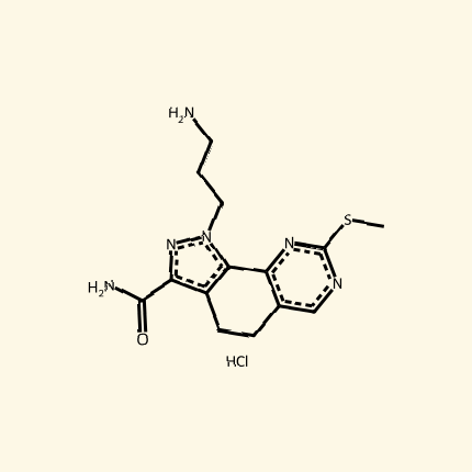 CSc1ncc2c(n1)-c1c(c(C(N)=O)nn1CCCN)CC2.Cl